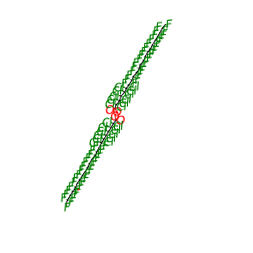 O=C(OOC(=O)C(Cl)(Cl)C(Cl)(Cl)C(Cl)(Cl)C(Cl)(Cl)C(Cl)(Cl)C(F)(Cl)C(F)(F)C(F)(F)C(F)(F)C(F)(F)C(F)(F)C(F)(F)C(F)(F)C(F)(F)C(F)(F)C(F)(F)C(F)(F)C(F)(F)C(F)(F)C(F)(F)CF)C(Cl)(Cl)C(Cl)(Cl)C(Cl)(Cl)C(Cl)(Cl)C(Cl)(Cl)C(F)(Cl)C(F)(F)C(F)(F)C(F)(F)C(F)(F)C(F)(F)C(F)(F)C(F)(F)C(F)(F)C(F)(F)C(F)(F)C(F)(F)C(F)(F)C(F)(F)C(F)(F)CF